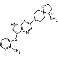 N[C@@H]1CCOC12CCN(c1cnc3c(Sc4cccnc4C(F)(F)F)n[nH]c3n1)CC2